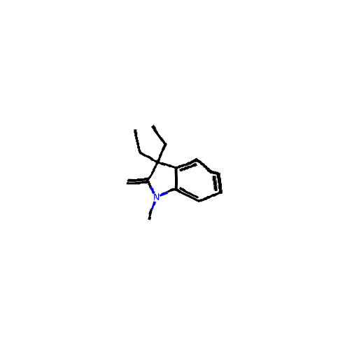 C=C1N(C)c2ccccc2C1(CC)CC